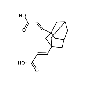 O=C(O)C=CC12CC3CC(C1)CC(C=CC(=O)O)(C3)C2